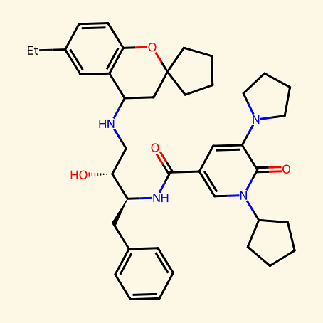 CCc1ccc2c(c1)C(NC[C@@H](O)[C@H](Cc1ccccc1)NC(=O)c1cc(N3CCCC3)c(=O)n(C3CCCC3)c1)CC1(CCCC1)O2